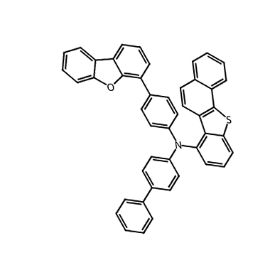 c1ccc(-c2ccc(N(c3ccc(-c4cccc5c4oc4ccccc45)cc3)c3cccc4sc5c6ccccc6ccc5c34)cc2)cc1